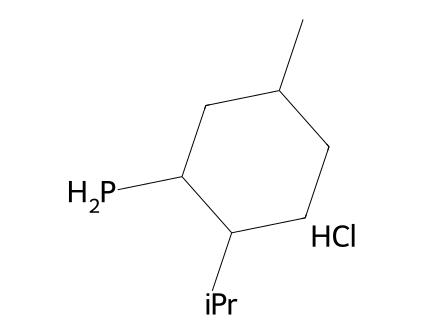 CC1CCC(C(C)C)C(P)C1.Cl